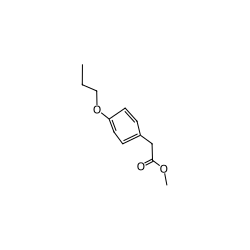 CCCOc1ccc(CC(=O)OC)cc1